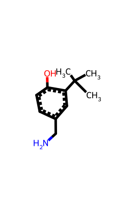 CC(C)(C)c1cc(CN)ccc1O